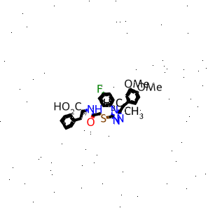 COc1ccc(C(C)(C)c2nnc(SCC(=O)N[C@@H](Cc3ccccc3)C(=O)O)n2-c2ccc(F)cc2)cc1OC